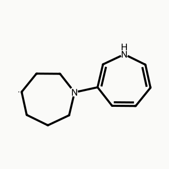 [CH]1CCCN(C2=CNC=CC=C2)CC1